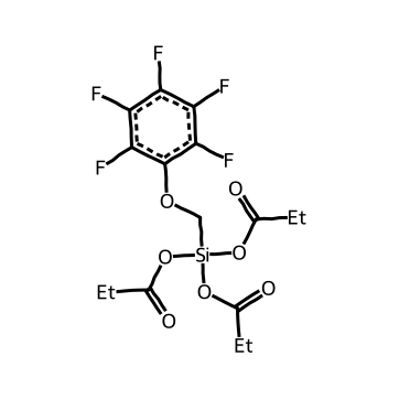 CCC(=O)O[Si](COc1c(F)c(F)c(F)c(F)c1F)(OC(=O)CC)OC(=O)CC